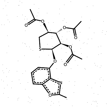 CC(=O)O[C@@H]1[C@@H](OC(C)=O)[C@@H](Oc2cccc3oc(C)nc23)SC[C@H]1OC(C)=O